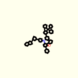 c1ccc(-c2ccc(N(c3ccc(-c4cccc(-c5ccc6ccccc6c5)c4)cc3)c3cccc(-c4ccc5c(c4)C(c4ccccc4)(c4ccccc4)c4ccccc4-5)c3)c3c2oc2ccccc23)cc1